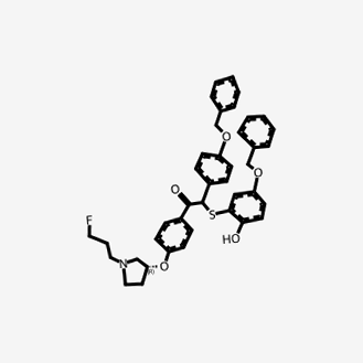 O=C(c1ccc(O[C@@H]2CCN(CCCF)C2)cc1)C(Sc1cc(OCc2ccccc2)ccc1O)c1ccc(OCc2ccccc2)cc1